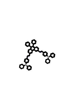 C(=C\c1ccc2c(-c3ccccc3)c(-c3ccccc3)c3ccc(/C=C/c4ccc(N(c5ccccc5)C5CCCCC5)cc4)cc3c2c1)/c1ccc(N(c2ccccc2)C2CCCCC2)cc1